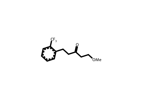 COCCC(=O)CCc1ccccc1C(F)(F)F